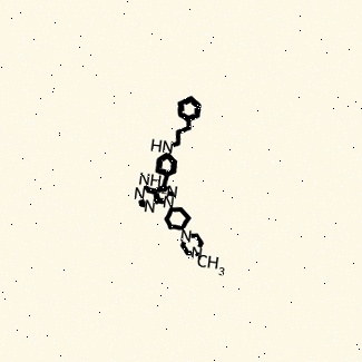 CN1CCN([C@H]2CC[C@@H](n3nc(-c4ccc(NCCCc5ccccc5)cc4)c4c(N)ncnc43)CC2)CC1